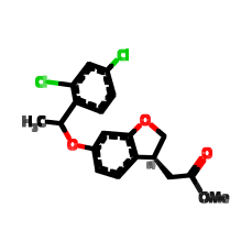 COC(=O)C[C@@H]1COc2cc(OC(C)c3ccc(Cl)cc3Cl)ccc21